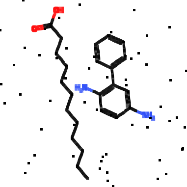 CCCCCCCCCCCC(=O)O.Nc1ccc(N)c(-c2ccccc2)c1